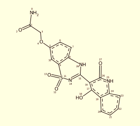 NC(=O)COc1ccc2c(c1)S(=O)(=O)N=C(c1c(O)c3ccccc3[nH]c1=O)N2